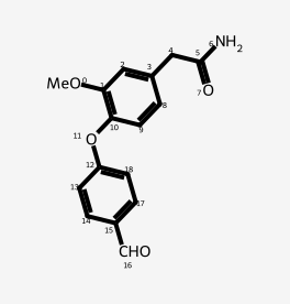 COc1cc(CC(N)=O)ccc1Oc1ccc(C=O)cc1